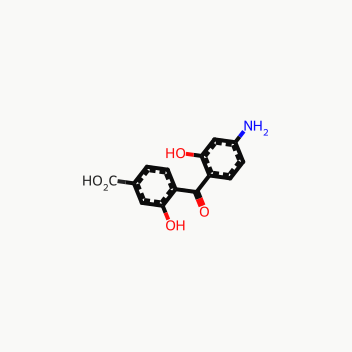 Nc1ccc(C(=O)c2ccc(C(=O)O)cc2O)c(O)c1